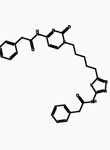 O=C(Cc1ccccc1)Nc1ccn(CCCCCc2nnc(NC(=O)Cc3ccccc3)s2)c(=O)n1